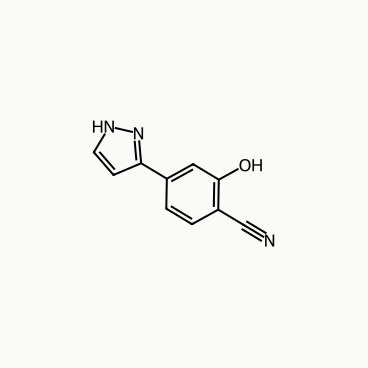 N#Cc1ccc(-c2cc[nH]n2)cc1O